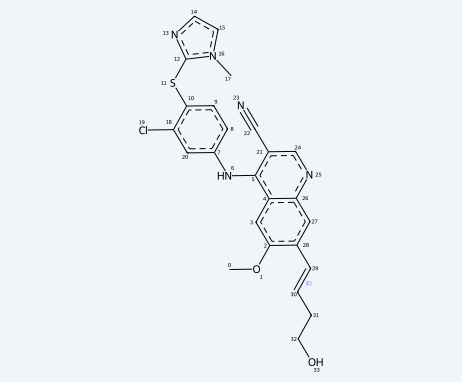 COc1cc2c(Nc3ccc(Sc4nccn4C)c(Cl)c3)c(C#N)cnc2cc1/C=C/CCO